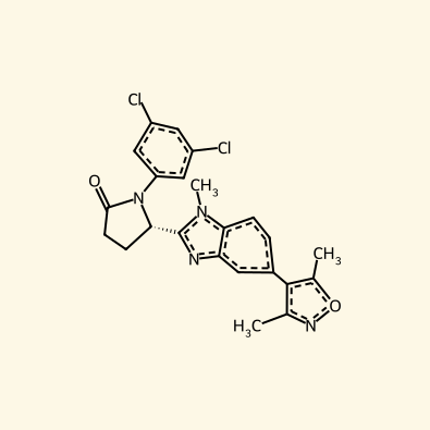 Cc1noc(C)c1-c1ccc2c(c1)nc([C@@H]1CCC(=O)N1c1cc(Cl)cc(Cl)c1)n2C